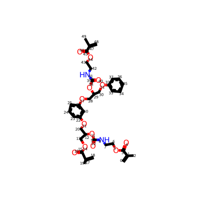 C=C(C)C(=O)OCCNC(=O)OC(COC(=O)C(=C)C)COc1cccc(OCC(COc2ccccc2)OC(=O)NCCOC(=O)C(=C)C)c1